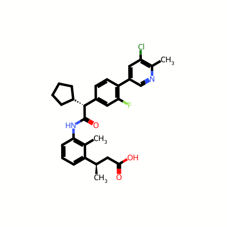 Cc1ncc(-c2ccc([C@H](C(=O)Nc3cccc([C@H](C)CC(=O)O)c3C)C3CCCC3)cc2F)cc1Cl